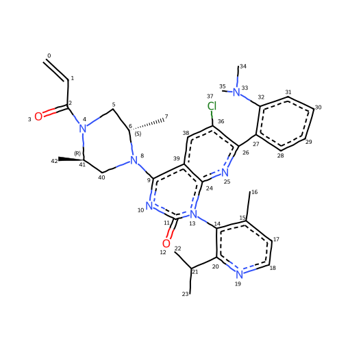 C=CC(=O)N1C[C@H](C)N(c2nc(=O)n(-c3c(C)ccnc3C(C)C)c3nc(-c4ccccc4N(C)C)c(Cl)cc23)C[C@H]1C